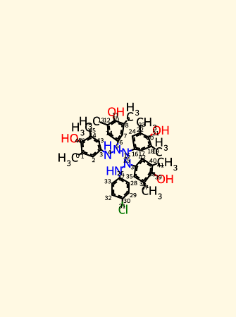 Cc1cc(NN(c2cc(C)c(O)c(C)c2)N(c2cc(C)c(O)c(C)c2)N(Nc2ccc(Cl)cc2)c2cc(C)c(O)c(C)c2)cc(C)c1O